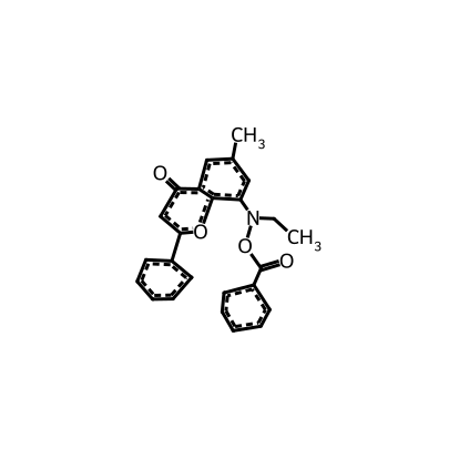 CCN(OC(=O)c1ccccc1)c1cc(C)cc2c(=O)cc(-c3ccccc3)oc12